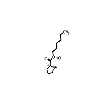 CCCCCCOC(=O)[C@@H]1CCCN1.Cl